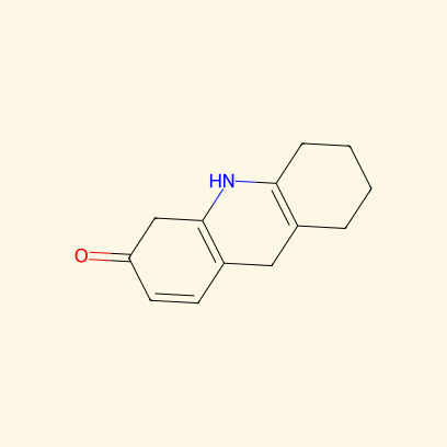 O=C1C=CC2=C(C1)NC1=C(CCCC1)C2